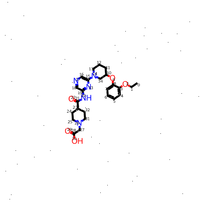 CCOc1ccccc1OC1CCCN(c2cncc(NC(=O)C3CCN(CC(=O)O)CC3)n2)C1